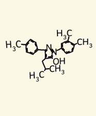 Cc1ccc(-c2nn(-c3ccc(C)c(C)c3)c(O)c2CC(C)C)cc1